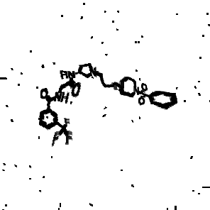 O=C(CNC(=O)c1cccc(C(F)(F)F)c1)N[C@@H]1CCN(CCN2CCN(S(=O)(=O)c3ccccc3)CC2)C1